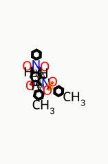 Cc1ccc([C@@H]2[C@@H]3C(=O)C[C@H]4C(=O)N(c5ccccc5)C(=O)[C@H]4[C@H]3CN2S(=O)(=O)c2ccc(C)cc2)cc1